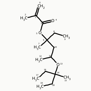 C=C(C)C(=O)OC(C)(CC)CC(C)OC(C)(CC)CC